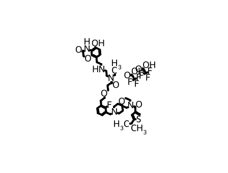 CCN(CCNCCc1ccc(O)c2c1OCC(=O)N2)C(=O)CCOCCc1cccc(CN2CCC3(CC2)CN(C(=O)c2csc(C(C)C)c2)CCO3)c1F.O=C(O)C(F)(F)F.O=C(O)C(F)(F)F